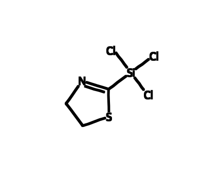 Cl[Si](Cl)(Cl)C1=NCCS1